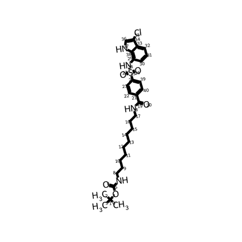 CC(C)(C)OC(=O)NCCCCCCCCCCNC(=O)c1ccc(S(=O)(=O)Nc2cccc3c(Cl)c[nH]c23)cc1